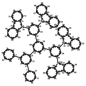 c1ccc(-c2cc(-c3ccccc3)cc(-c3cc(-c4cc(-n5c6ccccc6c6ccccc65)cc(-n5c6ccccc6c6ccccc65)c4)cc(-c4cc(-n5c6ccccc6c6ccccc65)cc(-n5c6ccccc6c6ccccc65)c4)c3)c2)cc1